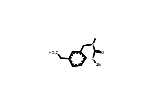 CN(Cc1cccc(CC(=O)O)c1)C(=O)OC(C)(C)C